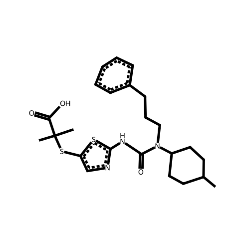 CC1CCC(N(CCCc2ccccc2)C(=O)Nc2ncc(SC(C)(C)C(=O)O)s2)CC1